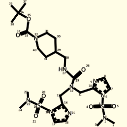 CN(C)S(=O)(=O)n1ccnc1CN(Cc1nccn1S(=O)(=O)N(C)C)C(=O)NCC1CCN(C(=O)OC(C)(C)C)CC1